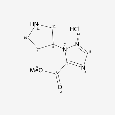 COC(=O)c1ncnn1C1CCNC1.Cl